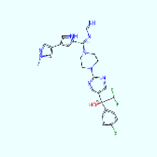 Cn1cc(-c2c[nH]c(/C(=N\C=N)N3CCN(c4ncc([C@@](O)(c5ccc(F)cc5)C(F)F)cn4)CC3)c2)cn1